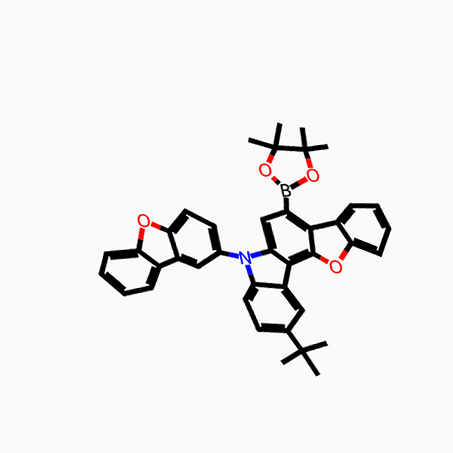 CC(C)(C)c1ccc2c(c1)c1c3oc4ccccc4c3c(B3OC(C)(C)C(C)(C)O3)cc1n2-c1ccc2oc3ccccc3c2c1